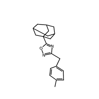 Cc1ccc(Cc2noc(C34CC5CC(CC(C5)C3)C4)n2)cc1